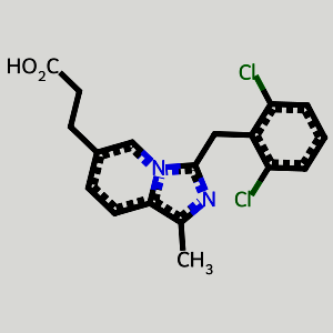 Cc1nc(Cc2c(Cl)cccc2Cl)n2cc(CCC(=O)O)ccc12